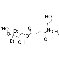 CCC(CC)(OC=O)C(O)COC(=O)CCC(=O)N(C)CCO